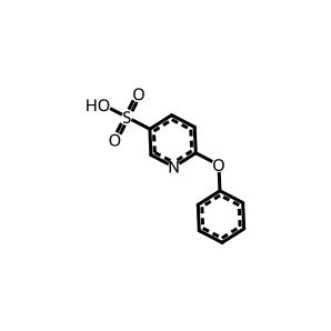 O=S(=O)(O)c1ccc(Oc2ccccc2)nc1